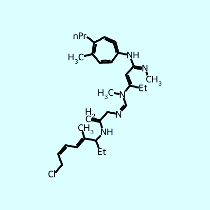 C=C(C/N=C\N(C)/C(=C/C(=N\C)NC1=C=CC(CCC)=C(C)C=C1)CC)NC(CC)/C(C)=C/C=C\CCl